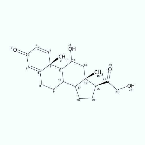 C[C@]12C=CC(=O)C=C1CCC1C2C(O)C[C@@]2(C)C1CC[C@@H]2C(=O)CO